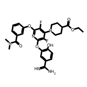 CCOC(=O)C1CCN(c2c(F)c(Oc3cccc(C(=O)N(C)C)c3)nc(Oc3cc(C(=N)N)ccc3O)c2F)CC1